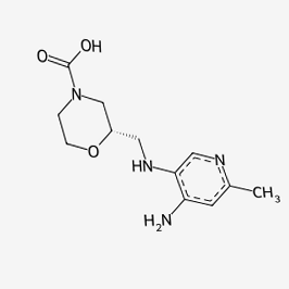 Cc1cc(N)c(NC[C@H]2CN(C(=O)O)CCO2)cn1